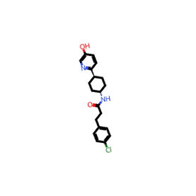 O=C(CCc1ccc(Cl)cc1)N[C@H]1CC[C@H](c2ccc(O)cn2)CC1